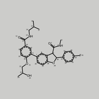 CNC(=O)C1c2cc(-c3cc(C(=O)NCC(C)C)ccc3OCC(C)O)ccc2OC1c1ccc(F)cc1